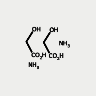 N.N.O=C(O)CO.O=C(O)CO